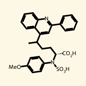 COc1ccc(N([C@H](CCC(C)c2cc(-c3ccccc3)nc3ccccc23)C(=O)O)S(=O)(=O)O)cc1